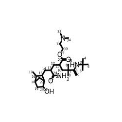 C=C(NC(C)(C)C)C(C)(C)CC(CC(CC1C(C)C2CC(O)C1C2)C(N)=O)C(=O)OCCN(C)C